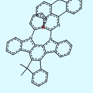 CC1(C)c2ccccc2-c2c1c1c3ccccc3n(-c3ccccc3)c1c1c2c2ccccc2n1-c1nc2c3c(cccc3n1)Sc1ccccc1-2